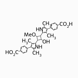 COC1C(c2[nH]c(C)c(-c3ccc(C(=O)O)cc3)c2C)C(O)C1c1[nH]c(C)c(-c2ccc(C(=O)O)cc2)c1C